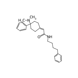 CN(C)C1(c2ccccc2)CCC(=CC(=O)NCCCCc2ccccc2)CC1